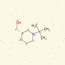 CC(C)(C)N1CCO[C@H](CO)C1